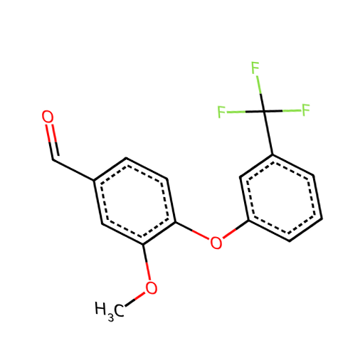 COc1cc(C=O)ccc1Oc1cccc(C(F)(F)F)c1